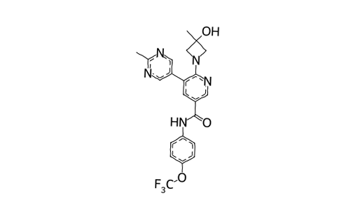 Cc1ncc(-c2cc(C(=O)Nc3ccc(OC(F)(F)F)cc3)cnc2N2CC(C)(O)C2)cn1